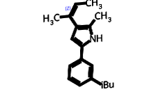 C/C=C(/C)c1cc(-c2cccc(C(C)CC)c2)[nH]c1C